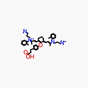 C/C(=C\C=C1/CCCC(/C=C/C(C)=[N+](\CCCN(C)C)c2ccccc2C)=C1Oc1ccc(CCC(=O)O)cc1)N(CCC[N+](C)(C)C)c1ccccc1C